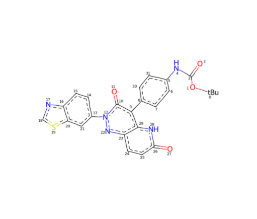 CC(C)(C)OC(=O)Nc1ccc(-c2c(=O)n(-c3ccc4ncsc4c3)nc3ccc(=O)[nH]c23)cc1